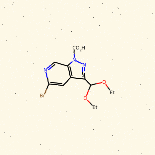 CCOC(OCC)c1nn(C(=O)O)c2cnc(Br)cc12